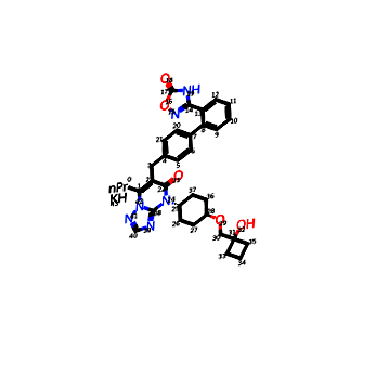 CCCc1c(Cc2ccc(-c3ccccc3-c3noc(=O)[nH]3)cc2)c(=O)n([C@H]2CC[C@H](OCC3(O)CCC3)CC2)c2ncnn12.[KH]